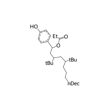 CCCCCCCCCCCCCC(CC(CC(OC(=O)CC)c1ccc(O)cc1)C(C)(C)C)C(C)(C)C